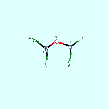 FB(F)OB(F)F